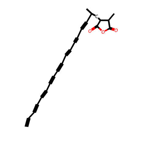 C#CC#CC#CC#CC#CC#CC#CC#CC(C)CC1C(=O)OC(=O)C1C